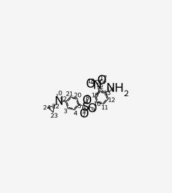 CN(c1ccc(S(=O)(=O)Oc2ccc(N)c([N+](=O)[O-])c2)cc1)C1CC1